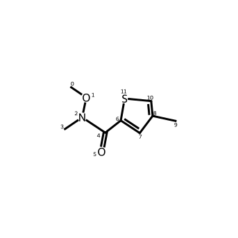 CON(C)C(=O)c1cc(C)cs1